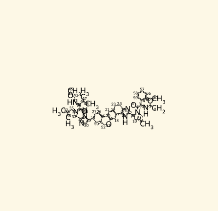 C=C(N[C@@H](C(=O)N1C[C@@H](C)C[C@H]1c1nc2c([nH]1)-c1cc3c(cc1CC2)C1=CC=C(c2cnc(CN(CC(C)C)C(=O)[C@@H](NCOC)C(C)C)[nH]2)CC1CO3)c1ccccc1)OC